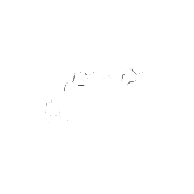 Cc1cc(CCCCc2ccc(Cl)cc2)ccc1C=CCN1CCN(C)C(C(=O)O)C1